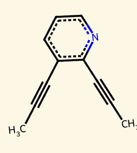 CC#Cc1cccnc1C#CC